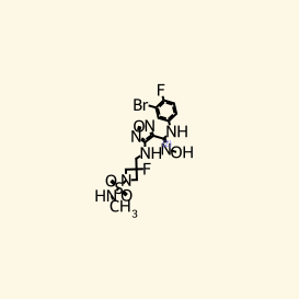 CNS(=O)(=O)N1CC(F)(CNc2nonc2/C(=N/O)Nc2ccc(F)c(Br)c2)C1